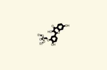 CCOP(=O)(COc1cc(-c2oc3cc(O)ccc3c(=O)c2O)ccc1O)OCC